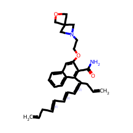 C=CC/C=C/C=C/C=C(/CC=C)c1c(C(N)=O)c(OCCN2CC3(COC3)C2)cc2ccccc12